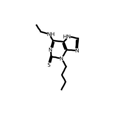 CCCCn1c(=S)nc(NCC)c2[nH]cnc21